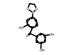 O=C(c1cc(O)cc(O)c1)c1ccc(B2OCCO2)cc1O